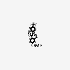 COc1ccc2c(c1)CCN(c1ccc(C(C)C)cc1F)C2=O